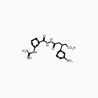 N=C(N)Nc1cccc(C(=O)NNC(=O)CC(CC(=O)O)c2cccc([N+](=O)[O-])c2)c1